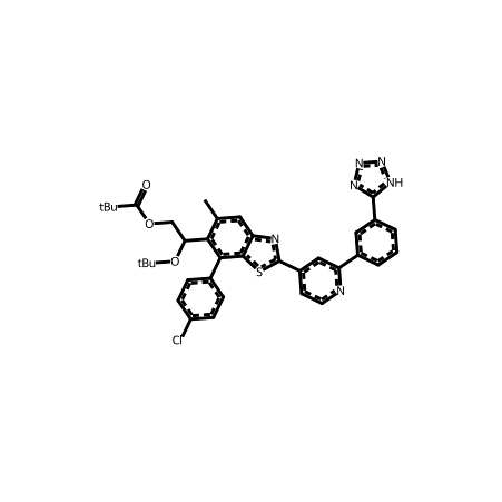 Cc1cc2nc(-c3ccnc(-c4cccc(-c5nnn[nH]5)c4)c3)sc2c(-c2ccc(Cl)cc2)c1C(COC(=O)C(C)(C)C)OC(C)(C)C